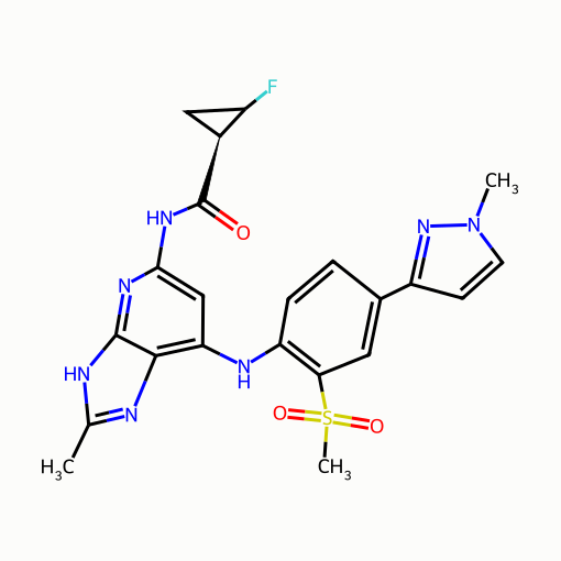 Cc1nc2c(Nc3ccc(-c4ccn(C)n4)cc3S(C)(=O)=O)cc(NC(=O)[C@H]3CC3F)nc2[nH]1